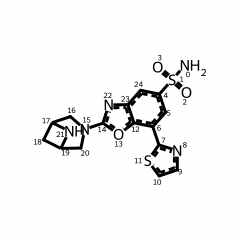 NS(=O)(=O)c1cc(-c2nccs2)c2oc(N3CC4CC(C3)N4)nc2c1